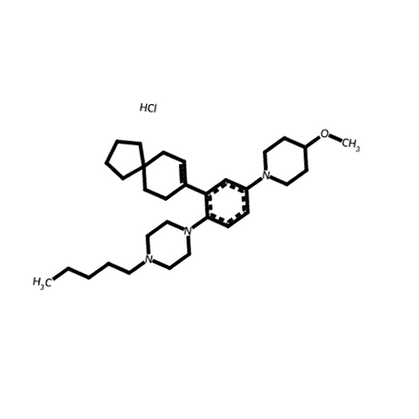 CCCCCN1CCN(c2ccc(N3CCC(OC)CC3)cc2C2=CCC3(CCCC3)CC2)CC1.Cl